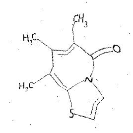 Cc1c(C)c(=O)n2ccsc2c1C